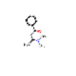 C=C(CC(=O)c1ccccc1)N(C)C